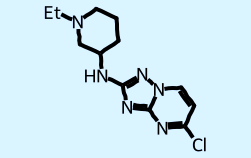 CCN1CCCC(Nc2nc3nc(Cl)ccn3n2)C1